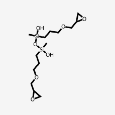 C[Si](O)(CCCOCC1CO1)O[Si](C)(O)CCCOCC1CO1